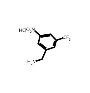 Cl.NCc1cc([N+](=O)[O-])cc(C(F)(F)F)c1